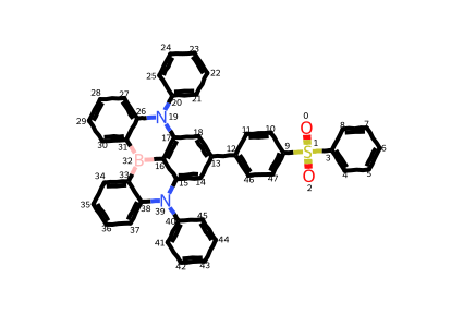 O=S(=O)(c1ccccc1)c1ccc(-c2cc3c4c(c2)N(c2ccccc2)c2ccccc2B4c2ccccc2N3c2ccccc2)cc1